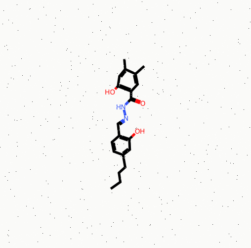 CCCCc1ccc(C=NNC(=O)c2cc(C)c(C)cc2O)c(O)c1